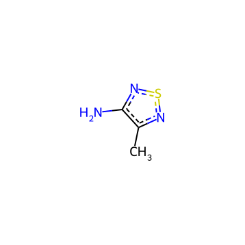 Cc1nsnc1N